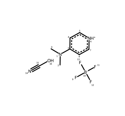 CN(C)c1cc[nH+]cc1.F[B-](F)(F)F.N#CO